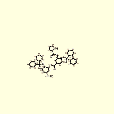 O=Cc1cc(OC(=O)c2cc(OC(=O)c3ccc[nH]3)c3c(c2)OC(c2ccccc2)(c2ccccc2)O3)c2c(c1)OC(c1ccccc1)(c1ccccc1)O2